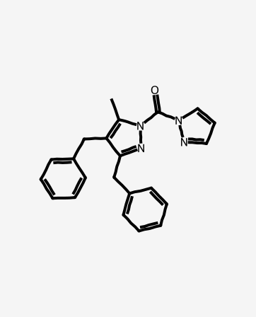 Cc1c(Cc2ccccc2)c(Cc2ccccc2)nn1C(=O)n1cccn1